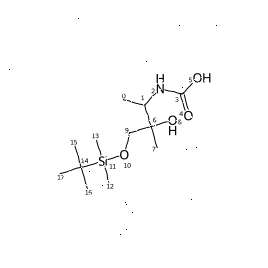 CC(NC(=O)O)C(C)(O)CO[Si](C)(C)C(C)(C)C